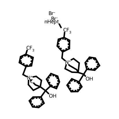 CCCCCCCC.OC(c1ccccc1)(c1ccccc1)C12CC[N+](Cc3ccc(C(F)(F)F)cc3)(CC1)CC2.OC(c1ccccc1)(c1ccccc1)C12CC[N+](Cc3ccc(C(F)(F)F)cc3)(CC1)CC2.[Br-].[Br-]